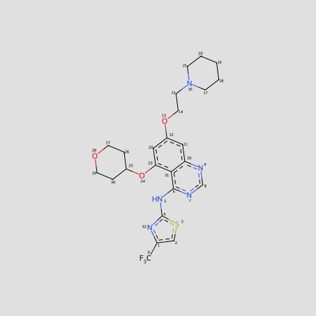 FC(F)(F)c1csc(Nc2ncnc3cc(OCCN4CCCCC4)cc(OC4CCOCC4)c23)n1